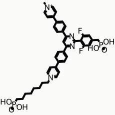 C[n+]1ccc(-c2ccc(-c3cc(-c4ccc(-c5cc[n+](CCCCCCCCP(=O)(O)O)cc5)cc4)nc(-c4c(F)cc(CP(=O)(O)O)cc4F)n3)cc2)cc1